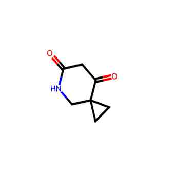 O=C1CC(=O)C2(CC2)CN1